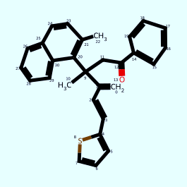 C=C(/C=C/c1cccs1)C(C)(CC(=O)c1ccccc1)c1c(C)ccc2ccccc12